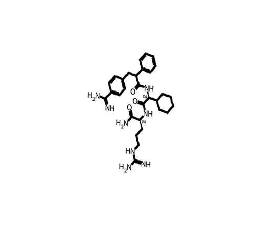 N=C(N)NCCC[C@H](NC(=O)[C@@H](NC(=O)C(Cc1ccc(C(=N)N)cc1)c1ccccc1)C1CCCCC1)C(N)=O